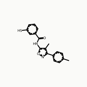 Cc1ccc(-c2noc(NC(=O)c3cccc(S)c3)c2C)cc1